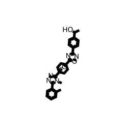 Cc1ccccc1-c1nnc(C23CCC(c4nc(-c5ccc(C(C)O)cc5)no4)(CC2)CC3)n1C